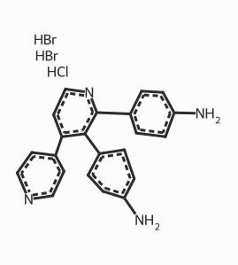 Br.Br.Cl.Nc1ccc(-c2nccc(-c3ccncc3)c2-c2ccc(N)cc2)cc1